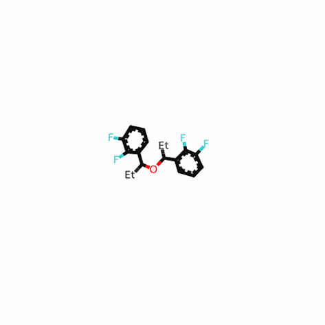 CCC(OC(CC)c1cccc(F)c1F)c1cccc(F)c1F